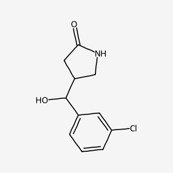 O=C1CC(C(O)c2cccc(Cl)c2)CN1